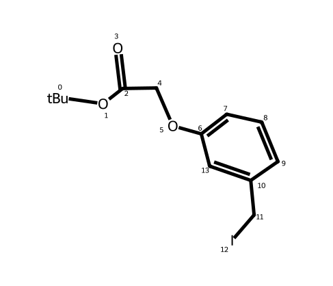 CC(C)(C)OC(=O)COc1cccc(CI)c1